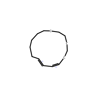 C1=C\CCCCCCCCCCC/C=C/1